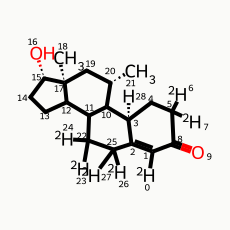 [2H]C1=C2[C@H](CC([2H])([2H])C1=O)C1C(C3CC[C@H](O)[C@@]3(C)C[C@@H]1C)C([2H])([2H])C2([2H])[2H]